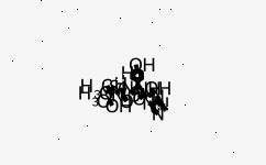 CC1(C)S[C@@H]2[C@H](NC(=O)C(NC(=O)c3nc4cncnc4nc3O)c3ccc(O)cc3)C(=O)N2[C@H]1C(=O)O